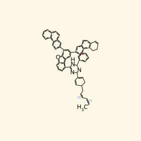 C/C=C\C=C/CC1C=CC(C2=NC(c3ccccc3)NC(c3cccc4oc5c(-c6ccc7c(ccc8ccccc87)c6)cc(-c6ccc7c8c(ccc7c6)C=CCC8)cc5c34)=N2)=CC1